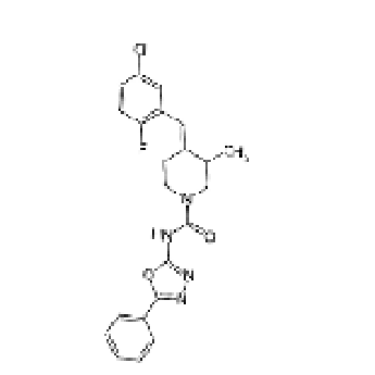 CC1CN(C(=O)Nc2nnc(-c3ccccc3)o2)CCC1=Cc1cc(Cl)ccc1F